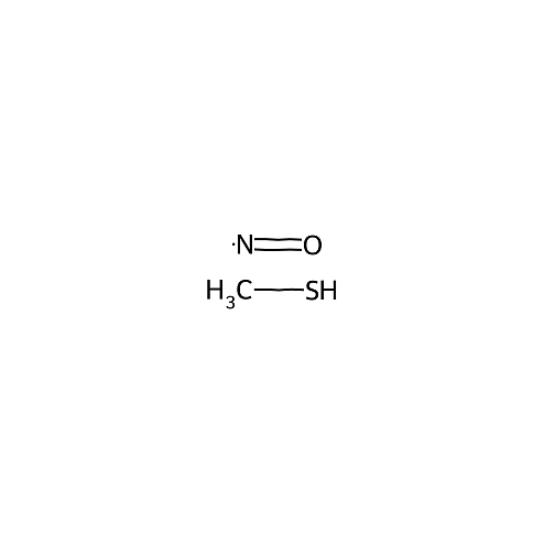 CS.[N]=O